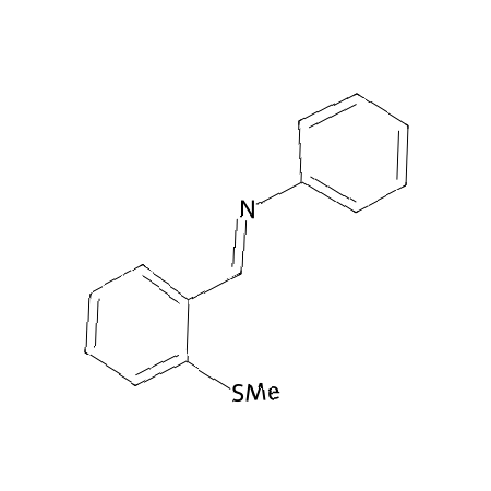 CSc1ccccc1C=Nc1ccccc1